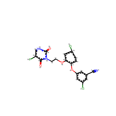 N#Cc1cc(Cl)cc(Oc2ccc(Cl)cc2OCCn2c(=O)[nH]cc(F)c2=O)c1